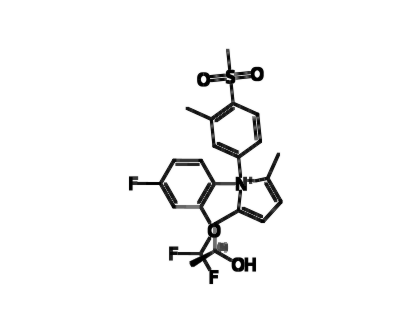 CC1=CC=C(C[C@H](C)O)[N+]1(c1ccc(S(C)(=O)=O)c(C)c1)c1ccc(F)cc1OC(F)F